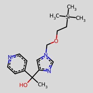 CC(O)(c1ccncc1)c1cn(COCC[Si](C)(C)C)cn1